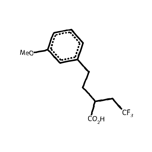 COc1cccc(CCC(CC(F)(F)F)C(=O)O)c1